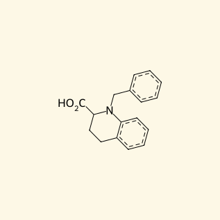 O=C(O)C1CCc2ccccc2N1Cc1ccccc1